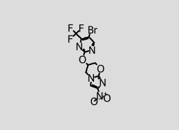 O=[N+]([O-])c1cn2c(n1)OCC(Oc1ncc(Br)c(C(F)(F)F)n1)C2